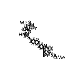 COO/C=N/[C@H](C(=O)N1CCC[C@H]1c1nc2cc(-c3ccc4cc(C#Cc5c[nH]c([C@@H]6CCCN6C(=O)[C@@H](NC(=O)OC)C(C)C)n5)ccc4c3)ccc2[nH]1)C(C)C